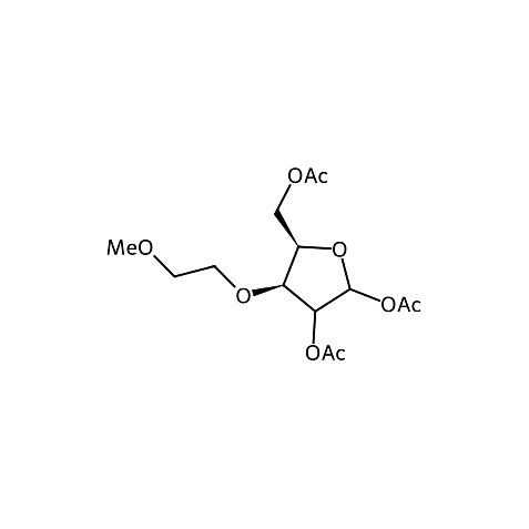 COCCO[C@@H]1C(OC(C)=O)C(OC(C)=O)O[C@@H]1COC(C)=O